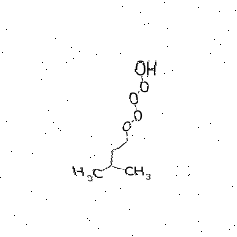 CC(C)CCOOOOO